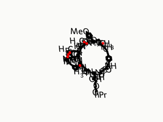 CCCOCCOCCC(=O)NC[C@@H]1NC(=O)CCC(=O)NCc2ccc(cc2)CCNC(=O)[C@]2(C)CCCN2C(=O)[C@H](Cc2ccc(OC)cc2)NC(=O)[C@H]([C@H](C)O)NC(=O)CN2CC[C@@H](C)OCc3cn(nn3)Cc3cccc(c3)C[C@H](NC(=O)[C@@H](C)NC1=O)C(=O)N[C@@H](Cc1c[nH]c3ccc(F)cc13)C2=O